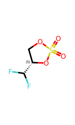 O=S1(=O)OC[C@@H](C(F)F)O1